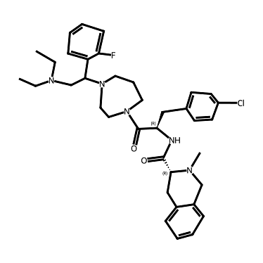 CCN(CC)CC(c1ccccc1F)N1CCCN(C(=O)[C@@H](Cc2ccc(Cl)cc2)NC(=O)[C@H]2Cc3ccccc3CN2C)CC1